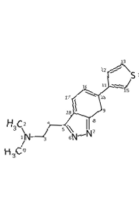 CN(C)CCC1=NN=C2CC(c3ccsc3)=CC=C12